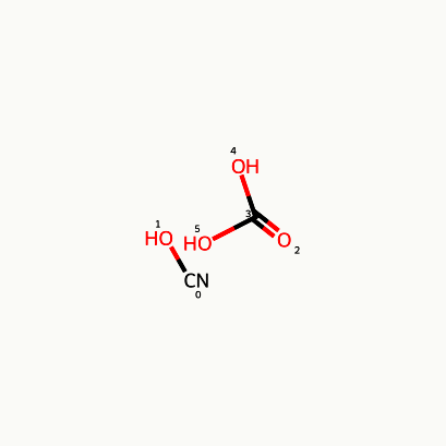 N#CO.O=C(O)O